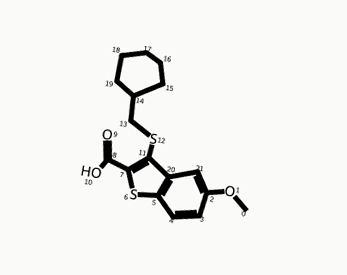 COc1ccc2sc(C(=O)O)c(SCC3CCCCC3)c2c1